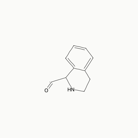 O=[C]C1NCCc2ccccc21